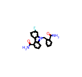 NC(=O)c1ccccc1Cn1c2cc(F)c[c]c2c2c(C(N)=O)cccc21